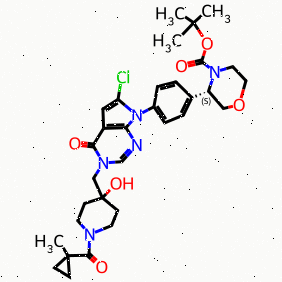 CC(C)(C)OC(=O)N1CCOC[C@@H]1c1ccc(-n2c(Cl)cc3c(=O)n(CC4(O)CCN(C(=O)C5(C)CC5)CC4)cnc32)cc1